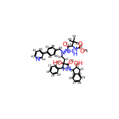 COC(=O)NC(C(=O)NN(CCC(O)(Cc1ccccc1)C(=O)NC1c2ccccc2CC1O)Cc1ccc(-c2cccnc2)cc1)C(C)(C)C